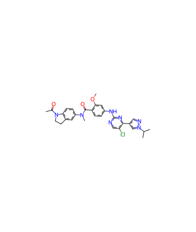 COc1cc(Nc2ncc(Cl)c(-c3cnn(C(C)C)c3)n2)ccc1C(=O)N(C)c1ccc2c(c1)CCN2C(C)=O